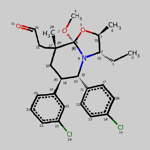 CC[C@H]1[C@H](C)O[C@@]2(OC)N1[C@H](c1ccc(Cl)cc1)[C@@H](c1cccc(Cl)c1)C[C@]2(C)CC=O